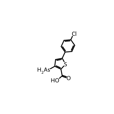 O=C(O)c1sc(-c2ccc(Cl)cc2)cc1[AsH2]